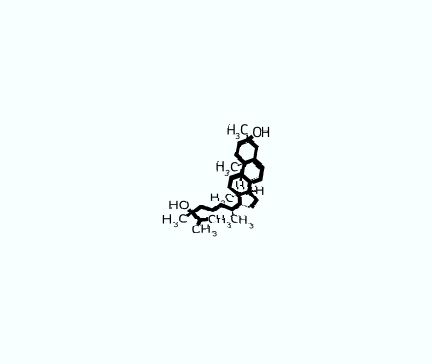 CC(C)[C@](C)(O)CCC[C@@H](C)[C@H]1CC[C@H]2C3CC=C4C[C@@](C)(O)CC[C@]4(C)[C@H]3CC[C@]12C